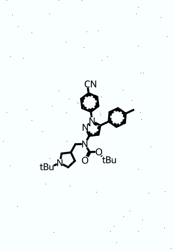 Cc1ccc(-c2cc(N(CC3CCN(C(C)(C)C)C3)C(=O)OC(C)(C)C)nn2-c2ccc(C#N)cc2)cc1